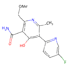 COCc1nc(C)c(-c2ccc(F)cn2)c(O)c1C(N)=O